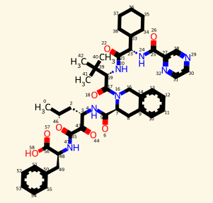 CCC[C@H](NC(=O)[C@@H]1Cc2ccccc2CN1C(=O)[C@@H](NC(=O)[C@@H](NC(=O)c1cnccn1)C1CCCCC1)C(C)(C)C)C(=O)C(=O)N[C@@H](Cc1ccccc1)C(=O)O